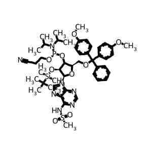 COc1ccc(C(OC[C@H]2O[C@@H](n3cnc4c(NS(C)(=O)=O)ncnc43)[C@@H](O[Si](C)(C)C(C)(C)C)C2OP(OCCC#N)N(C(C)C)C(C)C)(c2ccccc2)c2ccc(OC)cc2)cc1